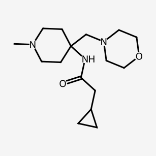 CN1CCC(CN2CCOCC2)(NC(=O)CC2CC2)CC1